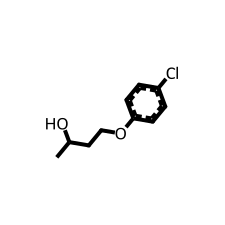 CC(O)CCOc1ccc(Cl)cc1